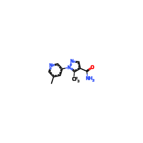 Cc1cncc(-n2ncc(C(N)=O)c2C(F)(F)F)c1